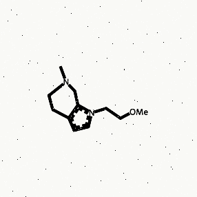 COCCn1ccc2c1CN(C)CC2